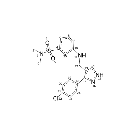 CN(C)S(=O)(=O)c1cccc(NCc2c[nH]nc2-c2ccc(Cl)cc2)c1